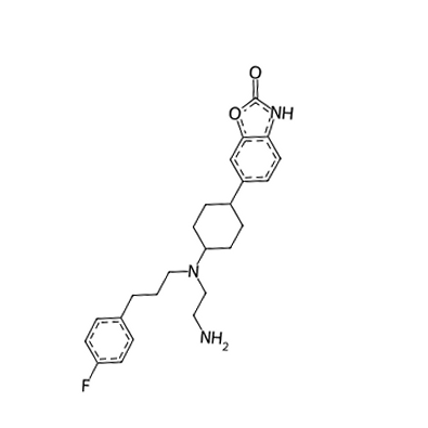 NCCN(CCCc1ccc(F)cc1)C1CCC(c2ccc3[nH]c(=O)oc3c2)CC1